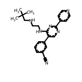 CC(C)(C)CNCCNc1nc(-c2ccncc2)ncc1-c1cccc(C#N)c1